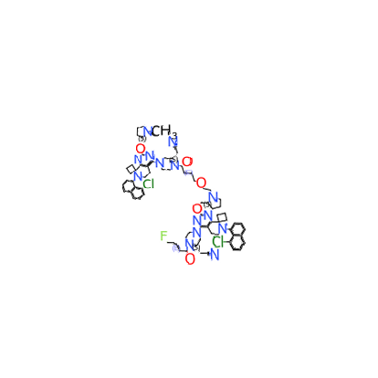 CN1CCC[C@H]1COc1nc(N2CCN(C(=O)/C=C/COCCN3CCC[C@H]3COc3nc(N4CCN(C(=O)/C=C/CF)[C@@H](CC#N)C4)c4c(n3)C3(CCC3)N(c3cccc5cccc(Cl)c35)CC4)[C@@H](CC#N)C2)c2c(n1)C1(CCC1)N(c1cccc3cccc(Cl)c13)CC2